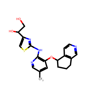 OCC(O)c1csc(Nc2ncc(C(F)(F)F)cc2OC2CCCc3cnccc32)n1